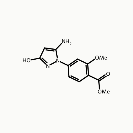 COC(=O)c1ccc(-n2nc(O)cc2N)cc1OC